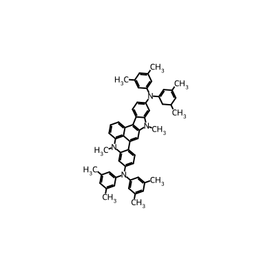 CC1=CC(C)CC(N(c2cc(C)cc(C)c2)c2ccc3c4c5cccc6c5c(cc4n(C)c3c2)-c2ccc(N(c3cc(C)cc(C)c3)c3cc(C)cc(C)c3)cc2N6C)=C1